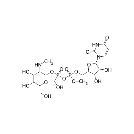 CNC1C(OP(=O)(CO)OP(=O)(OC)OCC2OC(n3ccc(=O)[nH]c3=O)C(O)C2O)OC(CO)C(O)C1O